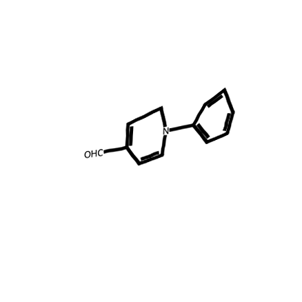 O=CC1=CCN(c2ccccc2)C=C1